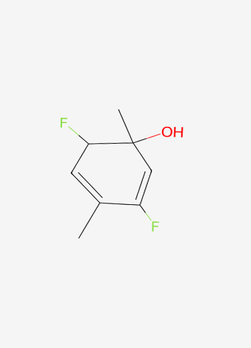 CC1=CC(F)C(C)(O)C=C1F